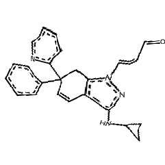 O=CC=Cn1nc(NC2CC2)c2c1CC(c1ccccc1)(c1ccccn1)C=C2